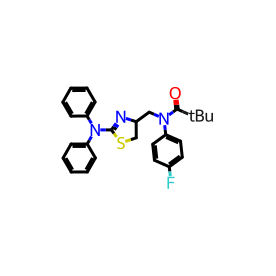 CC(C)(C)C(=O)N(CC1CSC(N(c2ccccc2)c2ccccc2)=N1)c1ccc(F)cc1